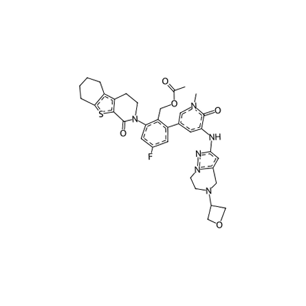 CC(=O)OCc1c(-c2cc(Nc3cc4n(n3)CCN(C3COC3)C4)c(=O)n(C)c2)cc(F)cc1N1CCc2c(sc3c2CCCC3)C1=O